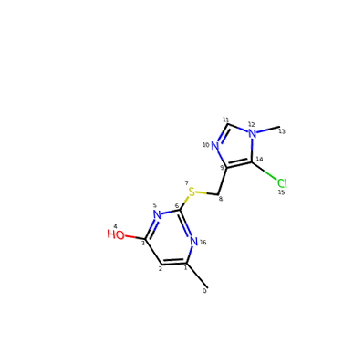 Cc1cc(O)nc(SCc2ncn(C)c2Cl)n1